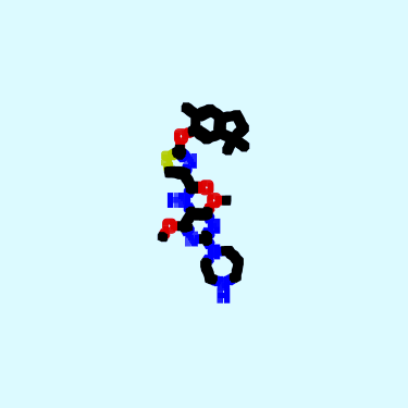 COc1nc(N2CCCNCC2)nc(OC)c1NC(=O)c1csc(Oc2cc3c(cc2C)CCC3(C)C)n1